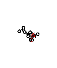 c1ccc(-c2nc(-c3ccccc3)nc(-c3cccc4c3c3c(ccc5c6ccccc6n(-c6ccccc6)c53)n4-c3ccc4c(c3)c3ccccc3n4-c3ccccc3)n2)cc1